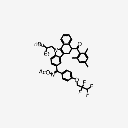 CCCCC(CC)Cn1c2c(c3cc(/C(=N\OC(C)=O)c4ccc(OCC(F)(F)C(F)F)cc4)ccc31)CC(C(=O)c1c(C)cc(C)cc1C)c1ccccc1-2